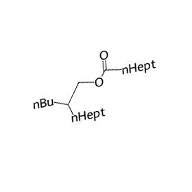 CCCCCCCC(=O)OCC(CCCC)CCCCCCC